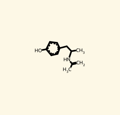 C=C(C)NC(C)Cc1ccc(O)cc1